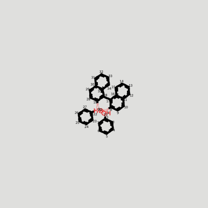 OB(c1ccccc1)c1ccc2ccccc2c1-c1c(B(O)c2ccccc2)ccc2ccccc12